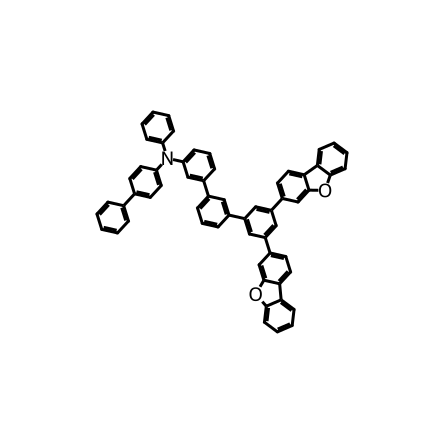 c1ccc(-c2ccc(N(c3ccccc3)c3cccc(-c4cccc(-c5cc(-c6ccc7c(c6)oc6ccccc67)cc(-c6ccc7c(c6)oc6ccccc67)c5)c4)c3)cc2)cc1